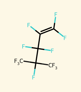 FC(F)=C(F)C(F)(F)C(F)(C(F)(F)F)C(F)(F)F